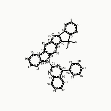 CC1(C)c2ccccc2-c2sc3cc4c5ccccc5n(-c5nc(-c6ccccc6)c6ccccc6n5)c4cc3c21